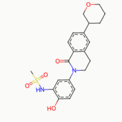 CS(=O)(=O)Nc1cc(N2CCc3cc(C4CCCOC4)ccc3C2=O)ccc1O